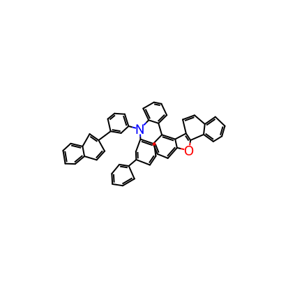 c1ccc(-c2cccc(N(c3cccc(-c4ccc5ccccc5c4)c3)c3ccccc3-c3cccc4oc5c6ccccc6ccc5c34)c2)cc1